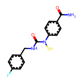 NC(=O)c1ccc(N(S)C(=O)NCc2ccc(F)cc2)cc1